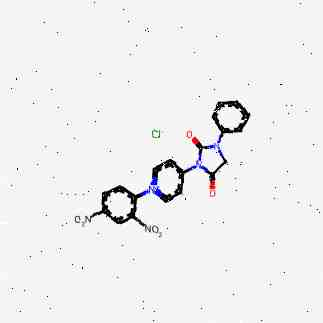 O=C1CN(c2ccccc2)C(=O)N1c1cc[n+](-c2ccc([N+](=O)[O-])cc2[N+](=O)[O-])cc1.[Cl-]